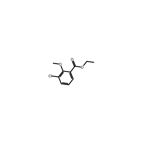 CCOC(=O)c1cccc(Cl)c1OC